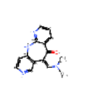 CN(C)/C=C1\C(=O)c2cccnc2Nc2ccncc21